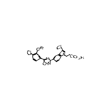 CC(C)Oc1cc(-c2nc(-c3ccc4c(c3)c(Cl)cn4CCC(=O)O)no2)ccc1Cl